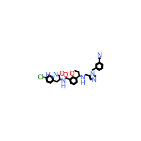 N#Cc1cccc(Cn2cncc2CNC2CCOc3c(C(=O)NC(Cc4ccc(Cl)cc4)C(N)=O)cccc32)c1